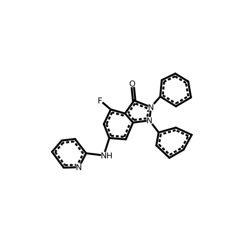 O=c1c2c(F)cc(Nc3ccccn3)cc2n(-c2ccccc2)n1-c1ccccc1